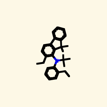 CCc1ccccc1N(c1c(CC)ccc2c1C(C)(C)c1ccccc1-2)C(C)(C)C